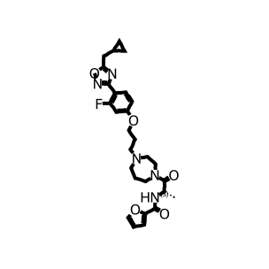 C[C@H](NC(=O)c1ccco1)C(=O)N1CCCN(CCCOc2ccc(-c3noc(CC4CC4)n3)c(F)c2)CC1